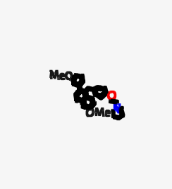 COc1cccc(-c2ccc3cc(OC)ccc3c2Cc2ccc(OCCN3CCCCC3)cc2)c1